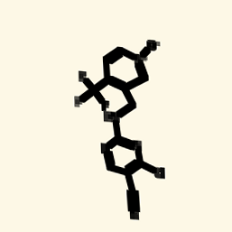 N#Cc1cnc(NCc2c[n+]([O-])ccc2C(F)(F)F)nc1Cl